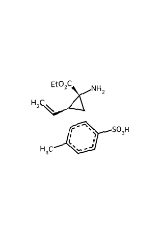 C=C[C@@H]1C[C@]1(N)C(=O)OCC.Cc1ccc(S(=O)(=O)O)cc1